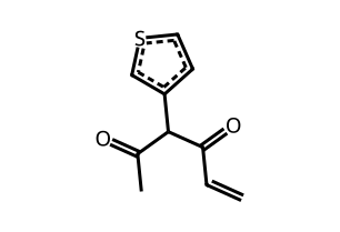 C=CC(=O)C(C(C)=O)c1ccsc1